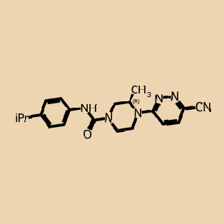 CC(C)c1ccc(NC(=O)N2CCN(c3ccc(C#N)nn3)[C@H](C)C2)cc1